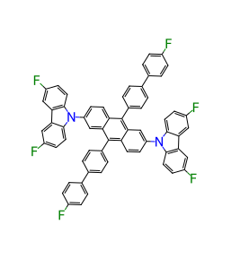 Fc1ccc(-c2ccc(-c3c4ccc(-n5c6ccc(F)cc6c6cc(F)ccc65)cc4c(-c4ccc(-c5ccc(F)cc5)cc4)c4ccc(-n5c6ccc(F)cc6c6cc(F)ccc65)cc34)cc2)cc1